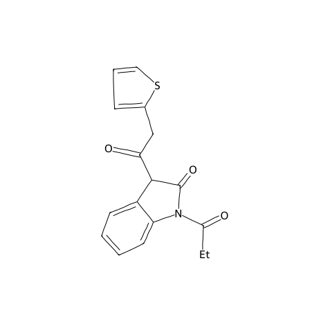 CCC(=O)N1C(=O)C(C(=O)Cc2cccs2)c2ccccc21